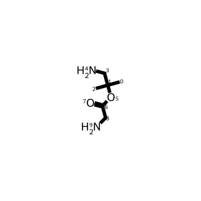 CC(C)(CN)OC(=O)CN